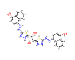 Oc1ccc(N=Nc2nnc([C@H](O)[C@@H](O)c3nnc(N=Nc4ccc(O)c5ccccc45)s3)s2)c2ccccc12